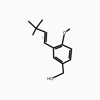 COc1ccc(CO)cc1/C=C/C(C)(C)C